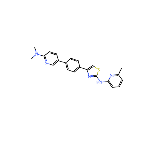 Cc1cccc(Nc2nc(-c3ccc(-c4ccc(N(C)C)nc4)cc3)cs2)n1